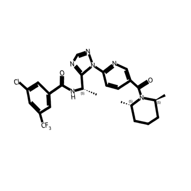 C[C@H](NC(=O)c1cc(Cl)cc(C(F)(F)F)c1)c1ncnn1-c1ccc(C(=O)N2[C@@H](C)CCC[C@@H]2C)cn1